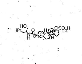 CC(C)CC(CO)NC(=O)OC1CC[C@@]2(C)C(CC[C@@H]3[C@@H]2CC[C@]2(C)C(C(=O)O)CC[C@@H]32)C1